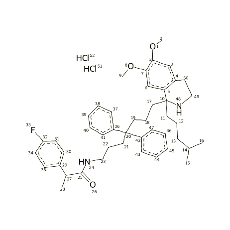 COc1cc2c(cc1OC)C(CCCC(C)C)(CCCC(CCCNC(=O)C(C)c1ccc(F)cc1)(c1ccccc1)c1ccccc1)NCC2.Cl.Cl